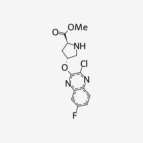 COC(=O)[C@@H]1C[C@@H](Oc2nc3cc(F)ccc3nc2Cl)CN1